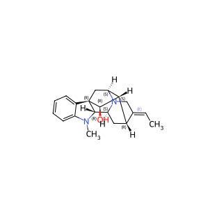 C/C=C1/CN2[C@H]3C[C@@]45c6ccccc6N(C)[C@H]4[C@@H]2C[C@@H]1[C@@H]3[C@H]5O